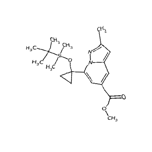 COC(=O)c1cc(C2(O[Si](C)(C)C(C)(C)C)CC2)n2nc(C)cc2c1